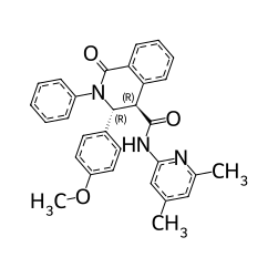 COc1ccc([C@H]2[C@H](C(=O)Nc3cc(C)cc(C)n3)c3ccccc3C(=O)N2c2ccccc2)cc1